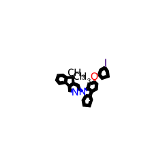 CC1(C)c2ccccc2-c2cnc(-n3c4ccccc4c4ccc(Oc5cccc(I)c5)cc43)cc21